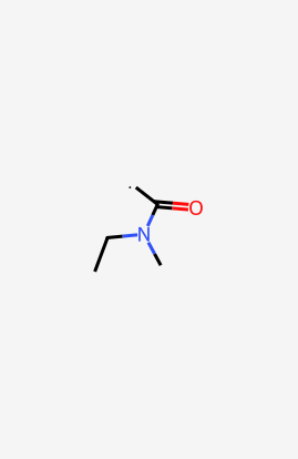 [CH2]C(=O)N(C)CC